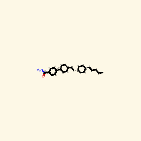 CCCCC[C@H]1CC[C@H](CCC2CCC(c3ccc(C(N)=O)cc3)CC2)CC1